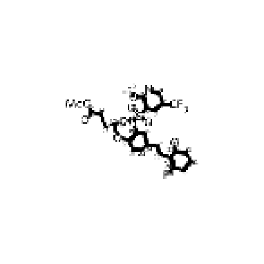 CCOc1ncc(C(F)(F)F)cc1S(=O)(=O)N1C[C@H](CCC(=O)OC)Oc2ccc(/C=C/c3c(F)cccc3Cl)cc21